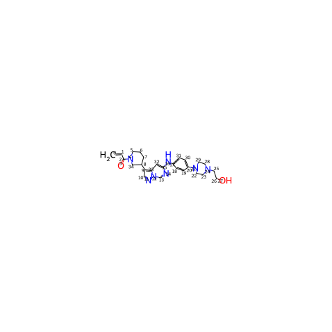 C=CC(=O)N1CCCC(c2cnn3cnc(Nc4ccc(N5CCN(CCO)CC5)cc4)cc23)C1